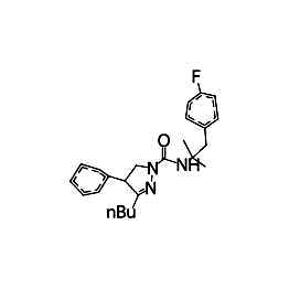 CCCCC1=NN(C(=O)NC(C)(C)Cc2ccc(F)cc2)CC1c1ccccc1